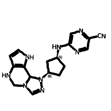 N#Cc1cnc(N[C@H]2CC[C@@H](N3N=CN4CNc5cc[nH]c5C43)C2)cn1